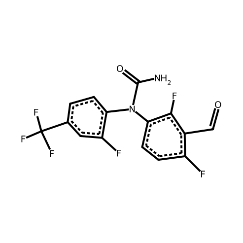 NC(=O)N(c1ccc(C(F)(F)F)cc1F)c1ccc(F)c(C=O)c1F